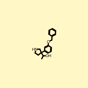 CC(O)C1(c2cccc(OCc3ccccc3)c2)CCNC1